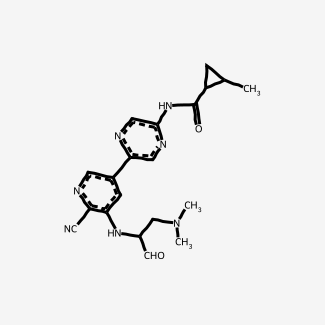 CC1CC1C(=O)Nc1cnc(-c2cnc(C#N)c(NC(C=O)CN(C)C)c2)cn1